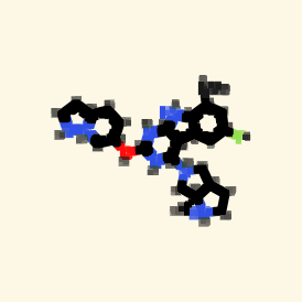 CNc1cc(F)cc2c1[nH]c1nc(Oc3ccc4ccnn4c3)nc(N3CC4CCN[C@H]4C3)c12